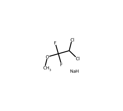 COC(F)(F)C(Cl)Cl.[NaH]